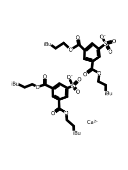 CCC(C)CCOC(=O)c1cc(C(=O)OCCC(C)CC)cc(S(=O)(=O)[O-])c1.CCC(C)CCOC(=O)c1cc(C(=O)OCCC(C)CC)cc(S(=O)(=O)[O-])c1.[Ca+2]